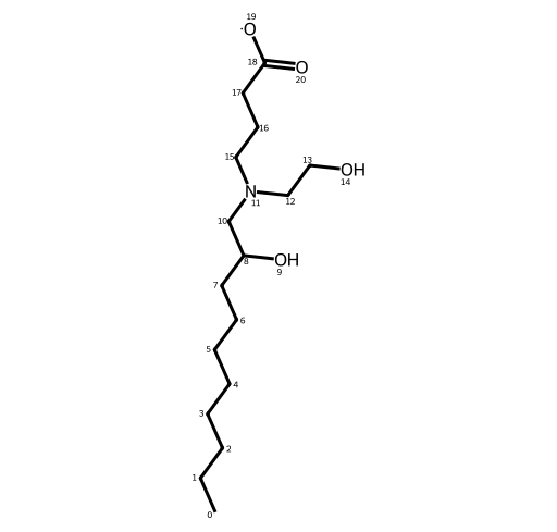 CCCCCCCCC(O)CN(CCO)CCCC([O])=O